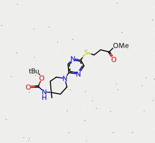 COC(=O)CCSc1cnc(N2CCC(C)(NC(=O)OC(C)(C)C)CC2)cn1